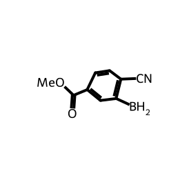 Bc1cc(C(=O)OC)ccc1C#N